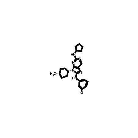 C[C@H]1CC[C@@H](n2c(Nc3cccc(Cl)c3)nc3cnc(NC4CCCC4)nc32)CC1